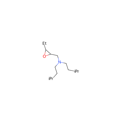 CCC1OC1CN(CCC(C)C)CCC(C)C